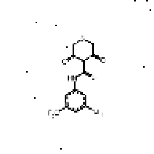 O=C1CSCC(=O)C1C(=O)Nc1cc(C(F)(F)F)cc(C(F)(F)F)c1